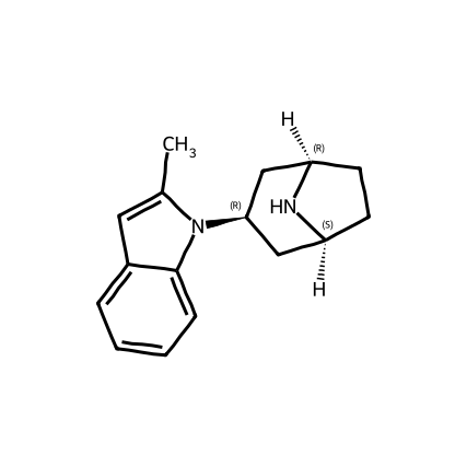 Cc1cc2ccccc2n1[C@H]1C[C@H]2CC[C@@H](C1)N2